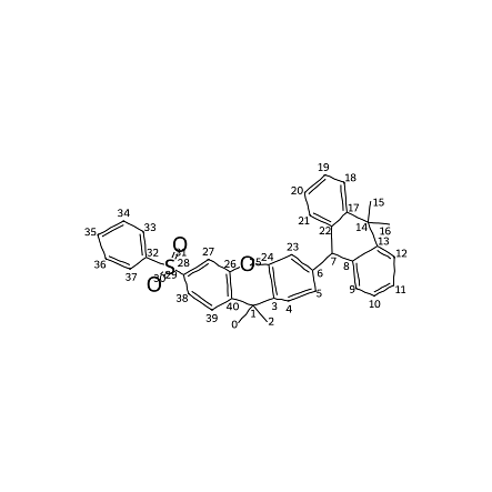 CC1(C)c2ccc(C3c4ccccc4C(C)(C)c4ccccc43)cc2Oc2cc(S(=O)(=O)c3ccccc3)ccc21